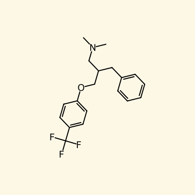 CN(C)CC(COc1ccc(C(F)(F)F)cc1)Cc1ccccc1